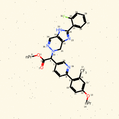 CCCOC(=O)C(c1ccc(-c2ccc(OCCC)cc2C(F)(F)F)nc1)N1Cc2nc(-c3ccccc3F)[nH]c2C=N1